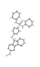 COc1ccc2c(c1)c1ncccc1n2Cc1ccc(P(=O)(Oc2ccccc2)Oc2ccccc2)cc1